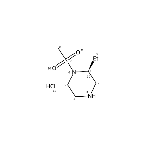 CC[C@H]1CNCCN1S(C)(=O)=O.Cl